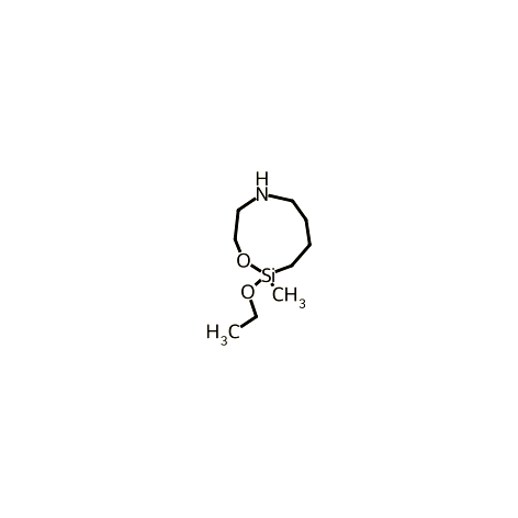 CCO[Si]1(C)CCCCNCCO1